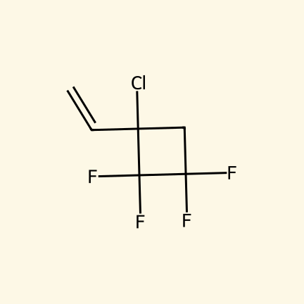 C=CC1(Cl)CC(F)(F)C1(F)F